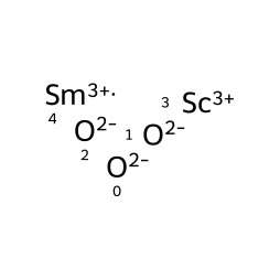 [O-2].[O-2].[O-2].[Sc+3].[Sm+3]